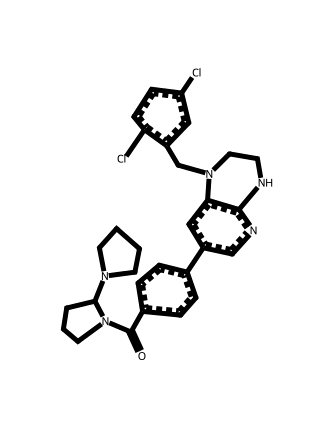 O=C(c1ccc(-c2cnc3c(c2)N(Cc2cc(Cl)ccc2Cl)CCN3)cc1)N1CCCC1N1CCCC1